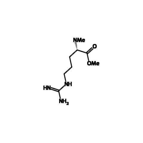 CN[C@@H](CCCNC(=N)N)C(=O)OC